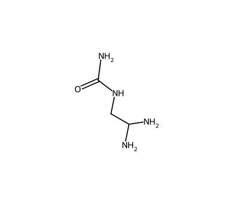 NC(=O)NCC(N)N